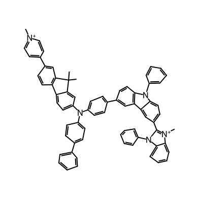 C[n+]1ccc(-c2ccc3c(c2)C(C)(C)c2cc(N(c4ccc(-c5ccccc5)cc4)c4ccc(-c5ccc6c(c5)c5cc(-c7n(-c8ccccc8)c8ccccc8[n+]7C)ccc5n6-c5ccccc5)cc4)ccc2-3)cc1